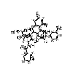 CCCC(CCC)S(=O)(=O)C[C@@H](NC(=O)c1cccnc1)C(=O)N[C@@H](Cc1cc(F)cc(F)c1)[C@H](O)CNC1(c2cccc(CC)c2)CC1